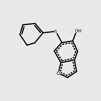 Oc1cc2ccoc2cc1SC1=CC=CCC1